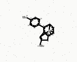 CCCCC1=C2c3c(ccc(c3-c3ccc(C(C)(C)C)cc3)[Si]2(C)C)[CH]1